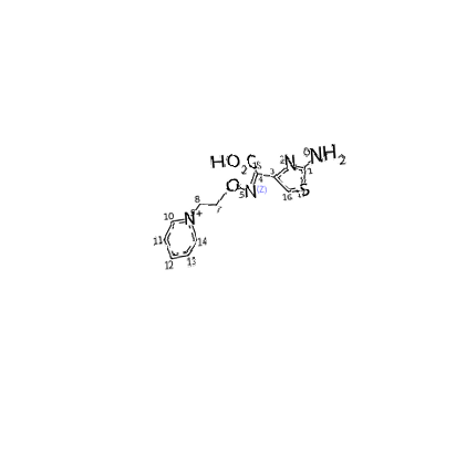 Nc1nc(/C(=N/OCC[n+]2ccccc2)C(=O)O)cs1